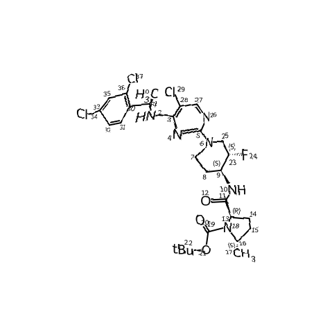 C[C@@H](Nc1nc(N2CC[C@H](NC(=O)[C@H]3CC[C@H](C)N3C(=O)OC(C)(C)C)[C@@H](F)C2)ncc1Cl)c1ccc(Cl)cc1Cl